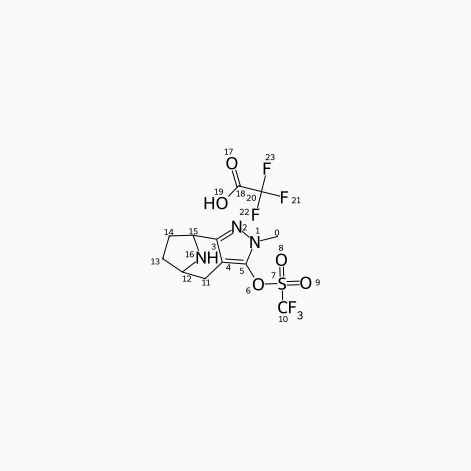 Cn1nc2c(c1OS(=O)(=O)C(F)(F)F)CC1CCC2N1.O=C(O)C(F)(F)F